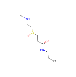 CCNCC[S+]([O-])CCC(=O)NCCC(C)C